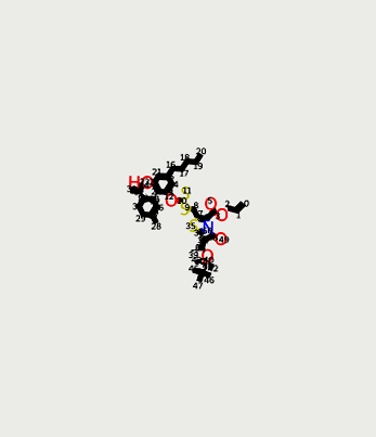 C=CCOC(=O)C1=C(CSC(=S)Oc2cc(CCCCC)cc(O)c2[C@@H]2C=C(C)CC[C@H]2C(=C)C)SC2[C@@H]([C@@H](C)O[Si](C)(C)C(C)(C)C)C(=O)N12